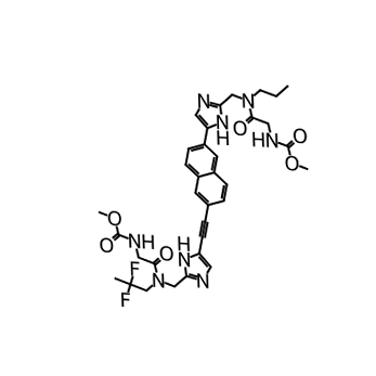 CCCN(Cc1ncc(-c2ccc3cc(C#Cc4cnc(CN(CC(C)(F)F)C(=O)CNC(=O)OC)[nH]4)ccc3c2)[nH]1)C(=O)CNC(=O)OC